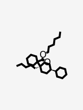 CCCCCCOC(=O)C1([C@]2(CCCCC)CC[C@H](C3CCCCC3)CC2)CCCCC1